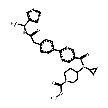 CC(NC(=O)Cc1ccc(-c2ncc(C(=O)N(C3CC3)C3CCN(C(=O)OC(C)(C)C)CC3)cn2)cc1)c1cccnc1